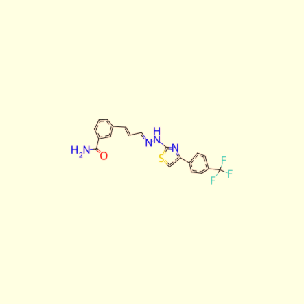 NC(=O)c1cccc(C=C/C=N/Nc2nc(-c3ccc(C(F)(F)F)cc3)cs2)c1